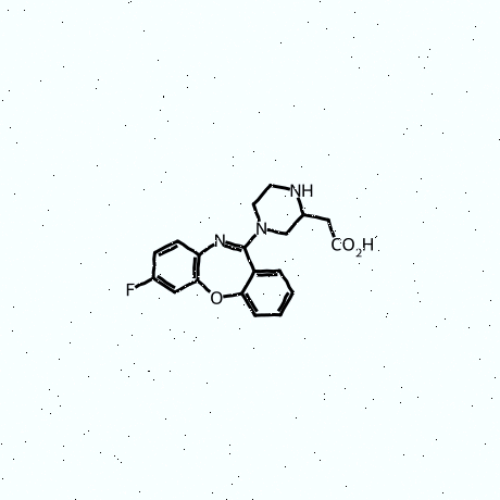 O=C(O)CC1CN(C2=Nc3ccc(F)cc3Oc3ccccc32)CCN1